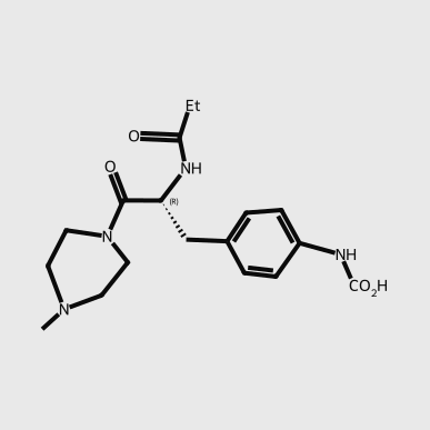 CCC(=O)N[C@H](Cc1ccc(NC(=O)O)cc1)C(=O)N1CCN(C)CC1